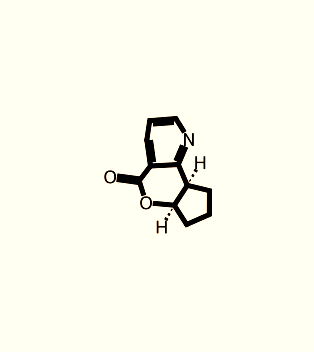 O=C1O[C@@H]2CCC[C@@H]2c2ncccc21